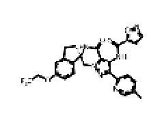 Cc1ccc(-c2nn3c(c2NC(=O)c2ccno2)C(=O)N[C@@]2(CCc4cc(OCC(F)(F)F)ccc42)C3)nc1